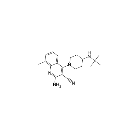 Cc1cccc2c(N3CCC(NC(C)(C)C)CC3)c(C#N)c(N)nc12